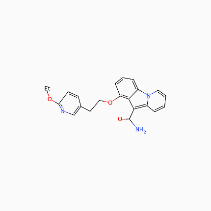 CCOc1ccc(CCOc2c[c]cc3c2c(C(N)=O)c2ccccn23)cn1